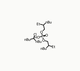 CCCCC(CC)COP(=O)(O)OCC(CC)CCCC.CCCCC(Cl)CCCC